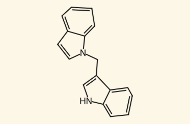 c1ccc2c(c1)ccn2Cc1c[nH]c2ccccc12